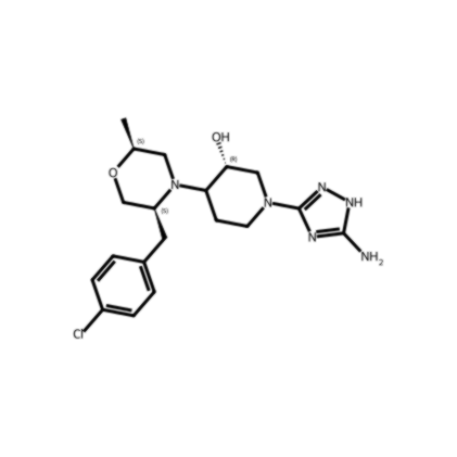 C[C@H]1CN(C2CCN(c3n[nH]c(N)n3)C[C@H]2O)[C@@H](Cc2ccc(Cl)cc2)CO1